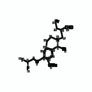 CCC1c2cc(OC)c(OCC(F)F)cc2CCN1CC(C=O)CC(C)C